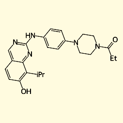 CCC(=O)N1CCN(c2ccc(Nc3ncc4ccc(O)c(C(C)C)c4n3)cc2)CC1